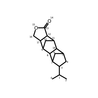 CC(C)C1CC2CC1C1C3CC(C4C(=O)OCC34)C21